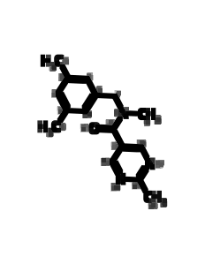 Cc1cc(C)cc(CN(C)C(=O)c2cnc(C)nc2)c1